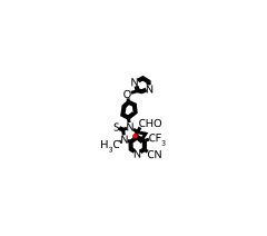 CN(C(=S)N(c1ccc(Oc2cnccn2)cc1)C1(C=O)CCC1)c1cnc(C#N)c(C(F)(F)F)c1